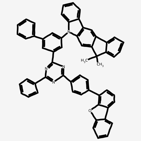 CC1(C)c2ccccc2-c2cc3c4ccccc4n(-c4cc(-c5ccccc5)cc(-c5nc(-c6ccccc6)nc(-c6ccc(-c7cccc8c7oc7ccccc78)cc6)n5)c4)c3cc21